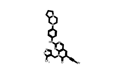 CC(C)C#Cc1cc2cnc(Nc3ccc(N4CCN5CCCC5C4)cc3)nc2n(Cc2cnsc2C(F)(F)F)c1=O